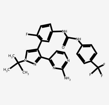 CC(C)(C)n1cc(-c2cc(NC(=O)Nc3ccc(C(F)(F)F)cc3)ccc2F)c(-c2ccnc(N)n2)n1